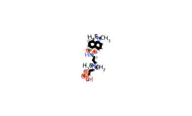 CN(C)c1cccc2c(S(=O)(=O)NCCC[N+](C)(C)CCCP(=O)(O)O)cccc12